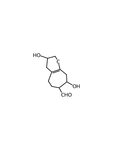 O=CC1CCC2=C(CCC(O)C2)CC1O